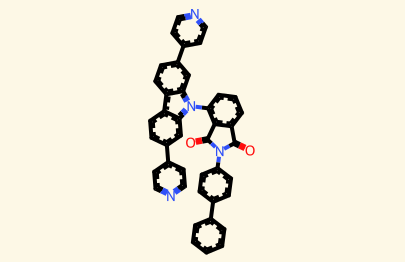 O=C1c2cccc(-n3c4cc(-c5ccncc5)ccc4c4ccc(-c5ccncc5)cc43)c2C(=O)N1c1ccc(-c2ccccc2)cc1